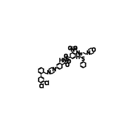 O=C(NS(=O)(=O)c1ccc(N[C@H](CCN2CCOCC2)CSc2ccccc2)c([N+](=O)[O-])c1)c1ccc(N2CCN(Cc3ccccc3-c3ccc(Cl)c(Cl)c3)CC2)cc1